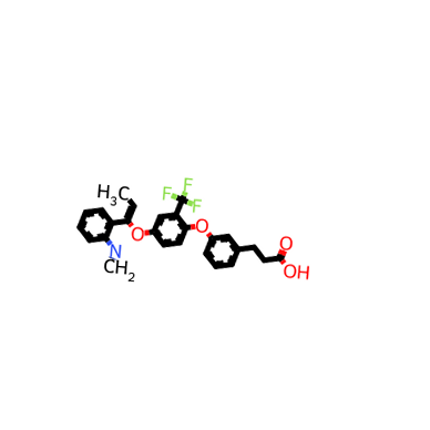 C=Nc1ccccc1/C(=C\C)Oc1ccc(Oc2cccc(CCC(=O)O)c2)c(C(F)(F)F)c1